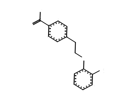 O=C(O)c1ccc(CCOc2ccccc2O)cc1